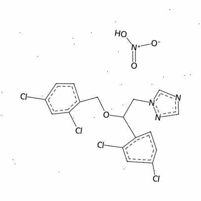 Clc1ccc(COC(Cn2cncn2)c2ccc(Cl)cc2Cl)c(Cl)c1.O=[N+]([O-])O